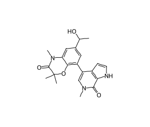 CC(O)c1cc(-c2cn(C)c(=O)c3[nH]ccc23)c2c(c1)N(C)C(=O)C(C)(C)O2